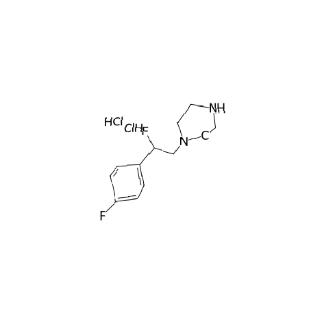 Cl.Cl.Fc1ccc(C(F)CN2CCNCC2)cc1